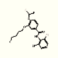 O=C(Nc1c(Cl)cncc1Cl)c1ccc(OC(F)F)c(OCCCCCl)c1